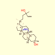 C=CC(C)(O)CC[C@@H](C)[C@H]1CC[C@@]2(N)[C@@H]3CC[C@H]4C[C@@](C)(O)CC[C@]4(C)[C@H]3CC[C@]12C